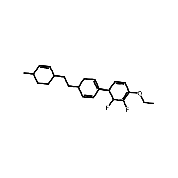 CCOC1=C(F)C(F)C(C2=CCC(CCC3C=CC(C)CC3)C=C2)C=C1